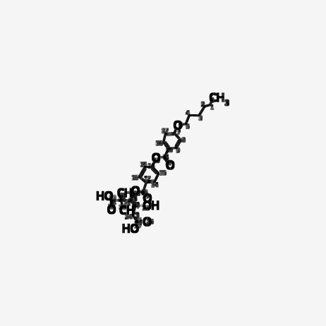 CCCCCCOc1ccc(C(=O)Oc2ccc(C(=O)O[C@@H]([C@H](O)CC(=O)O)C(C)(C)C(=O)O)cc2)cc1